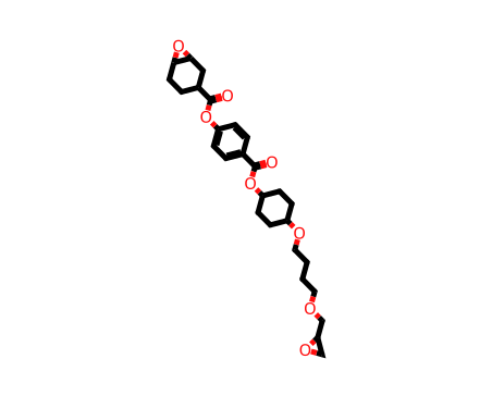 O=C(OC1CCC(OCCCCOCC2CO2)CC1)c1ccc(OC(=O)C2CCC3OC3C2)cc1